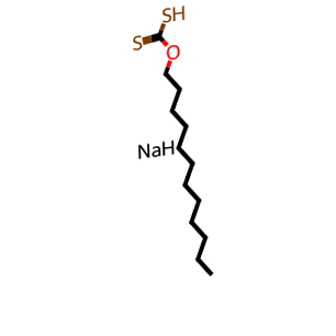 CCCCCCCCCCCCOC(=S)S.[NaH]